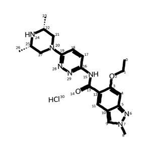 CCOc1cc2nn(C)cc2cc1C(=O)Nc1ccc(N2C[C@@H](C)N[C@@H](C)C2)nn1.Cl